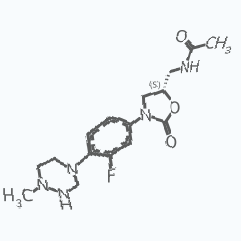 CC(=O)NC[C@H]1CN(c2ccc(N3CCN(C)NC3)c(F)c2)C(=O)O1